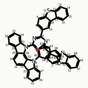 c1ccc(-c2nc(-c3ccc4sc5ccccc5c4c3)nc(-n3c4ccccc4c4ccc5c6ccccc6n(-c6cccc(-c7nc8ccccc8o7)c6)c5c43)n2)cc1